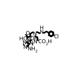 Nc1ncnc2c1ncn2[C@]1(O)COC(CN(CCNCCc2ccc(Cl)cc2)CC[C@H](N)C(=O)O)[C@H]1O